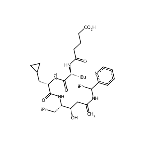 C=C(C[C@H](O)[C@H](CC(C)C)NC(=O)[C@H](CC1CC1)NC(=O)[C@@H](NC(=O)CCCC(=O)O)[C@@H](C)CC)NC(c1ccccn1)C(C)C